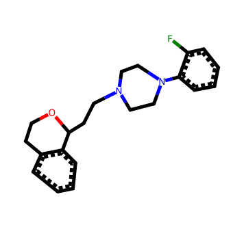 Fc1ccccc1N1CCN(CCC2OCCc3ccccc32)CC1